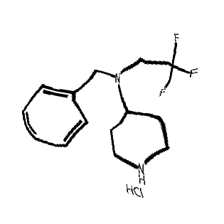 Cl.FC(F)(F)CN(Cc1ccccc1)C1CCNCC1